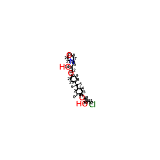 Cc1cc(C(C)(C)c2ccc(OCC(O)CN3CCOCC3)cc2)ccc1OCC(O)CCl